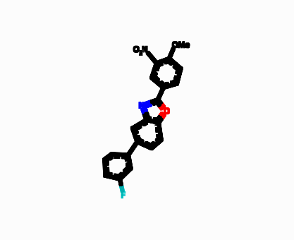 COc1ccc(-c2nc3cc(-c4cccc(F)c4)ccc3o2)cc1[N+](=O)[O-]